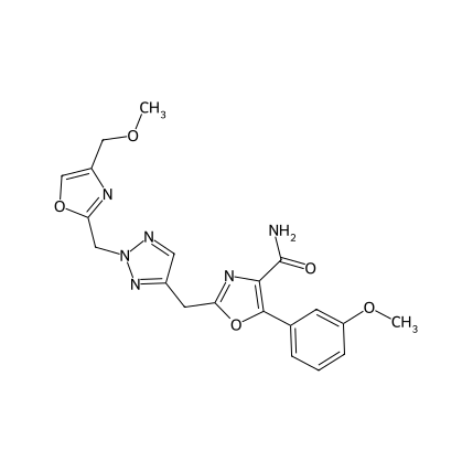 COCc1coc(Cn2ncc(Cc3nc(C(N)=O)c(-c4cccc(OC)c4)o3)n2)n1